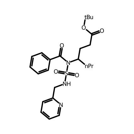 CCCC(CCC(=O)OC(C)(C)C)N(C(=O)c1ccccc1)S(=O)(=O)NCc1ccccn1